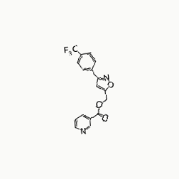 O=C(OCc1cc(-c2ccc(C(F)(F)F)cc2)no1)c1cccnc1